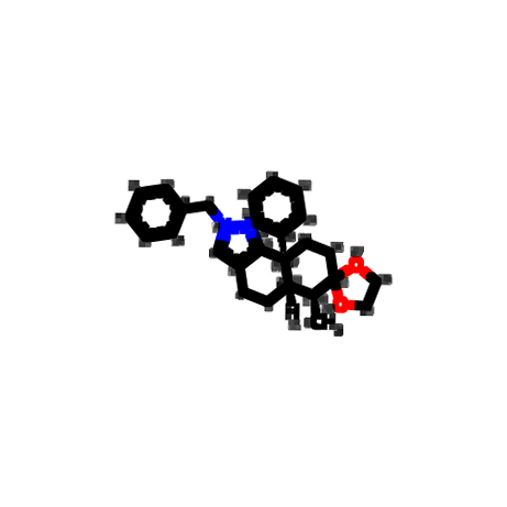 C[C@H]1[C@@H]2CCc3cn(Cc4ccccc4)nc3[C@@]2(c2ccccc2)CCC12OCCO2